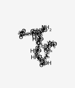 CC(=O)O[C@@H](C)/C=C\C(=O)N[C@@H]1C[C@H](C)[C@H](C/C=C(C)/C=C/[C@H]2O[C@H](CC(=O)N[C@H]3C[C@H](NC(=O)OCc4ccc(NC(=O)[C@H](CCCNC(N)=O)NC(=O)[C@@H](NC(=O)CCCCCN5C(=O)C=CC5=O)C(C)C)cc4)C3)C[C@@]3(CO3)[C@@H]2O)O[C@@H]1C